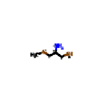 CSCC(N)CS